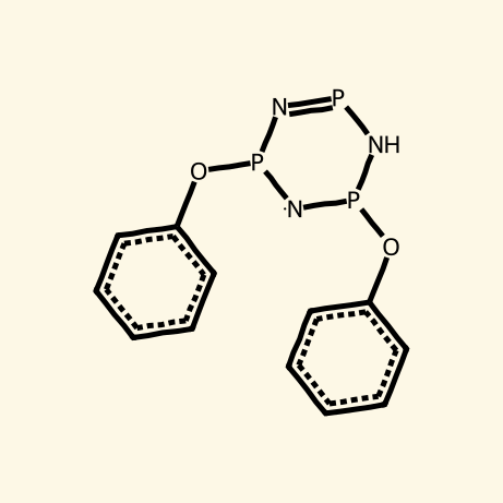 c1ccc(OP2[N]P(Oc3ccccc3)NP=N2)cc1